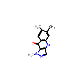 Cc1cc2[nH]c3cnn(C)c3c(=O)c2cc1C